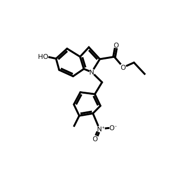 CCOC(=O)c1cc2cc(O)ccc2n1Cc1ccc(C)c([N+](=O)[O-])c1